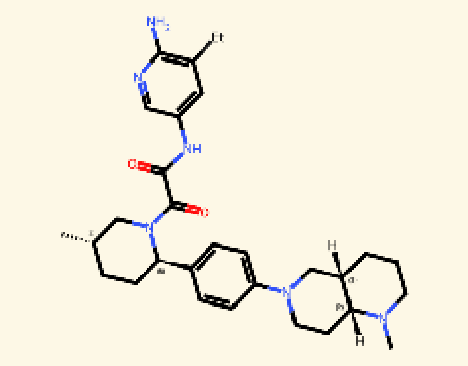 CCc1cc(NC(=O)C(=O)N2C[C@@H](C)CC[C@@H]2c2ccc(N3CC[C@@H]4[C@@H](CCCN4C)C3)cc2)cnc1N